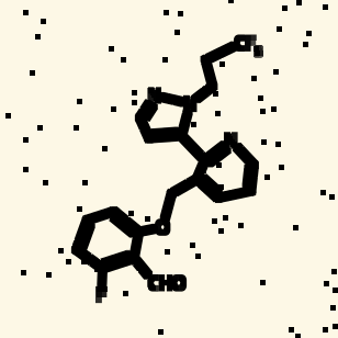 O=Cc1c(F)cccc1OCc1cccnc1-c1ccnn1CCC(F)(F)F